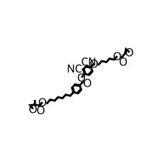 CC1(C(=O)OCCCCCCCc2ccc(C(=O)Oc3ccc(OCCCCCOC(=O)C4CO4)c(C#N)c3C#N)cc2)CO1